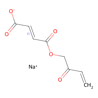 C=CC(=O)COC(=O)/C=C/C(=O)[O-].[Na+]